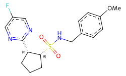 COc1ccc(CNS(=O)(=O)[C@@H]2CCC[C@@H]2c2ncc(F)cn2)cc1